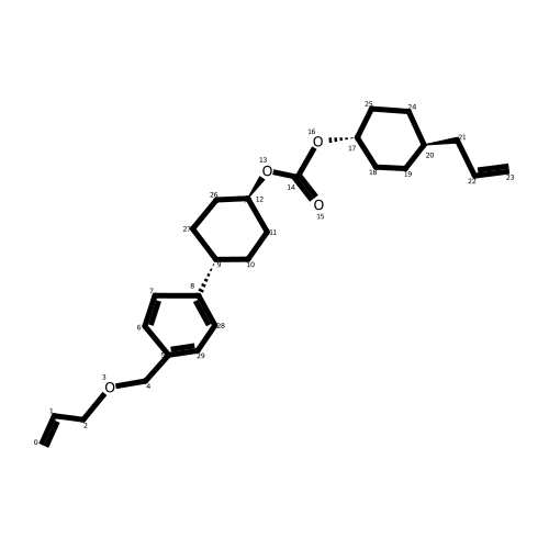 C=CCOCc1ccc([C@H]2CC[C@H](OC(=O)O[C@H]3CC[C@H](CC=C)CC3)CC2)cc1